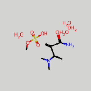 C=C(C(N)=O)C(C)N(C)C.COS(=O)(=O)O.O.O.O.O